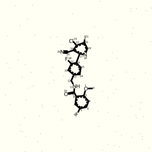 COc1ccc(F)cc1C(=O)NCc1ccc(-c2ncc(I)c(Cl)c2C#N)c(F)c1